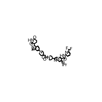 CC(C)Oc1cc2nc(C3CCN(C(=O)CC4(O)CCN(c5ccc6c(C7CCC(=O)NC7=O)nn(C)c6c5)CC4)CC3)cn2cc1C(=O)Nc1cccc(C(F)F)n1